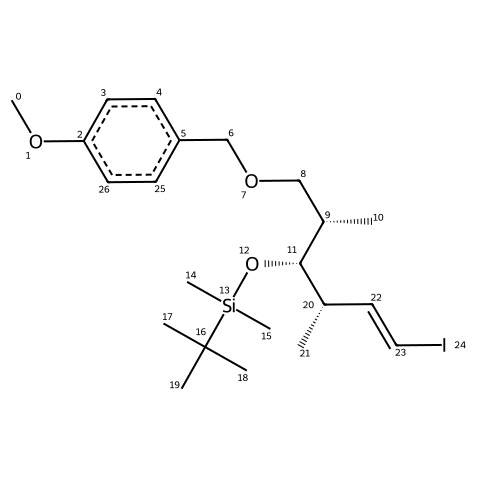 COc1ccc(COC[C@H](C)[C@@H](O[Si](C)(C)C(C)(C)C)[C@@H](C)C=CI)cc1